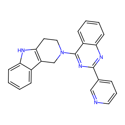 c1cncc(-c2nc(N3CCc4[nH]c5ccccc5c4C3)c3ccccc3n2)c1